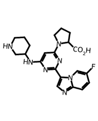 O=C(O)C1CCCN1c1cc(NC2CCCNC2)nc(-c2cnc3ccc(F)cn23)n1